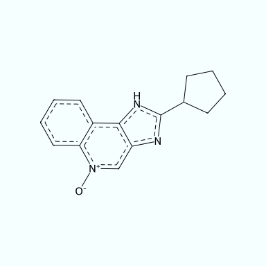 [O-][n+]1cc2nc(C3CCCC3)[nH]c2c2ccccc21